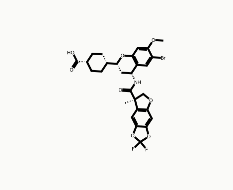 COc1cc2c(cc1Br)[C@H](NC(=O)[C@@]1(C)COc3cc4c(cc31)OC(F)(F)O4)C[C@H]([C@H]1CC[C@@H](C(=O)O)CC1)O2